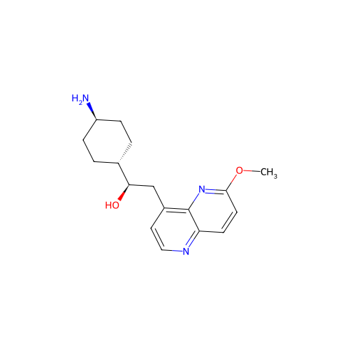 COc1ccc2nccc(C[C@@H](O)[C@H]3CC[C@H](N)CC3)c2n1